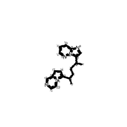 CC(CCC(C)c1cnc2cccnn12)c1ccc2cnccn12